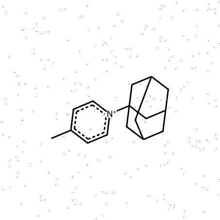 Cc1cc[n+](C23CC4CC(CC(C4)C2)C3)cc1